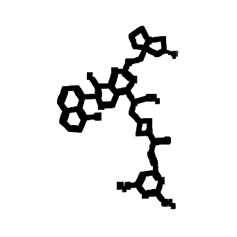 Cc1cc(C=CC(=O)N2CC(CN(C)c3nc(OC[C@@]45CCCN4C[C@H](F)C5)nc4c(F)c(-c5cccc6cccc(Cl)c56)ncc34)C2)nc(C)n1